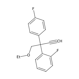 C#CC(COCC)(c1ccc(F)cc1)c1ccccc1F